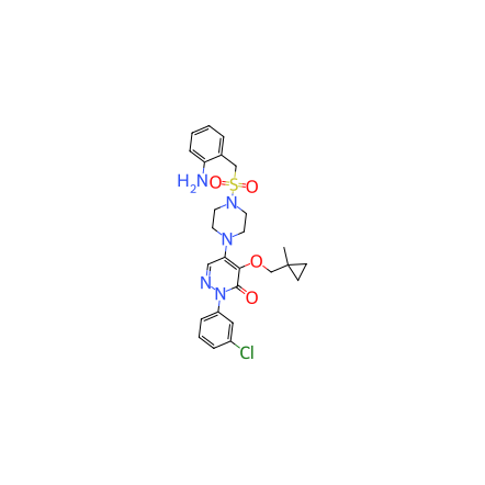 CC1(COc2c(N3CCN(S(=O)(=O)Cc4ccccc4N)CC3)cnn(-c3cccc(Cl)c3)c2=O)CC1